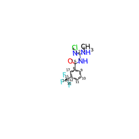 CNC(=NCl)NC(=O)c1cccc(C(F)(F)F)c1